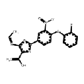 C=C(O)c1nc(-c2ccc(Oc3ccccc3F)c([N+](=O)[O-])c2)sc1/N=C\C